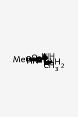 COCCC(=O)Nc1ccc(-c2n[nH]cc2CN(C)CCN)cc1